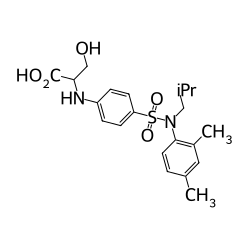 Cc1ccc(N(CC(C)C)S(=O)(=O)c2ccc(NC(CO)C(=O)O)cc2)c(C)c1